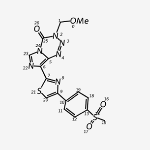 COCn1nnc2c(-c3nc(-c4ccc(S(C)(=O)=O)cc4)cs3)ncn2c1=O